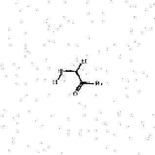 CCN[C@@H](CC)C(=O)C(C)(C)C